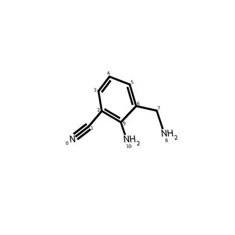 N#Cc1cccc(CN)c1N